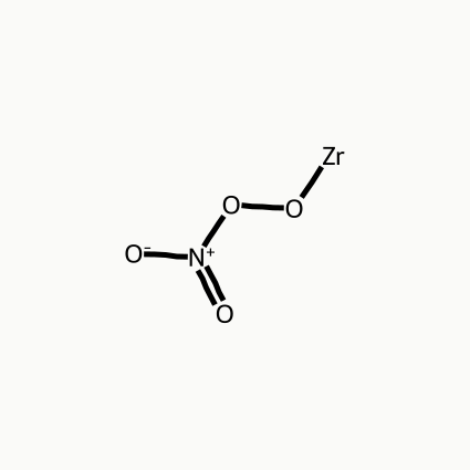 O=[N+]([O-])O[O][Zr]